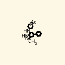 CC(=O)N1CCC(Nc2cc(-c3ccccc3)cc3c(C)n[nH]c23)CC1